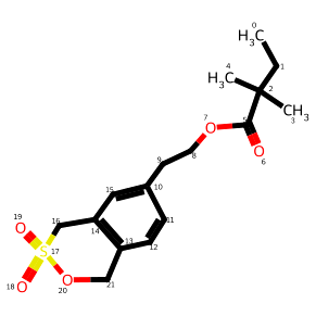 CCC(C)(C)C(=O)OCCc1ccc2c(c1)CS(=O)(=O)OC2